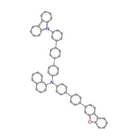 c1cc(-c2ccc(-c3ccc(N(c4ccc(-c5ccc(-c6ccc7c(c6)oc6ccccc67)cc5)cc4)c4cccc5ccccc45)cc3)cc2)cc(-n2c3ccccc3c3ccccc32)c1